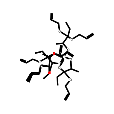 C=CCOC(CC)(OCC=C)C(C)[O][Ti]([O]C(C)C(CC)(OCC=C)OCC=C)([O]C(C)C(CC)(OCC=C)OCC=C)[O]C(C)C(CC)(OCC=C)OCC=C